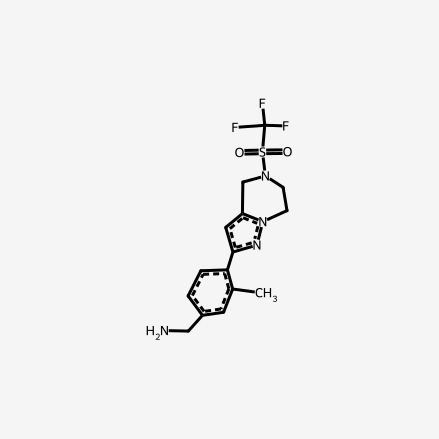 Cc1cc(CN)ccc1-c1cc2n(n1)CCN(S(=O)(=O)C(F)(F)F)C2